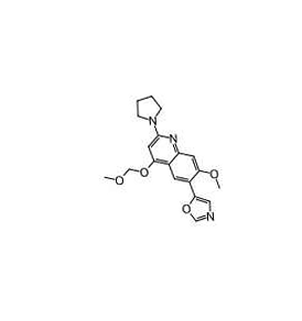 COCOc1cc(N2CCCC2)nc2cc(OC)c(-c3cnco3)cc12